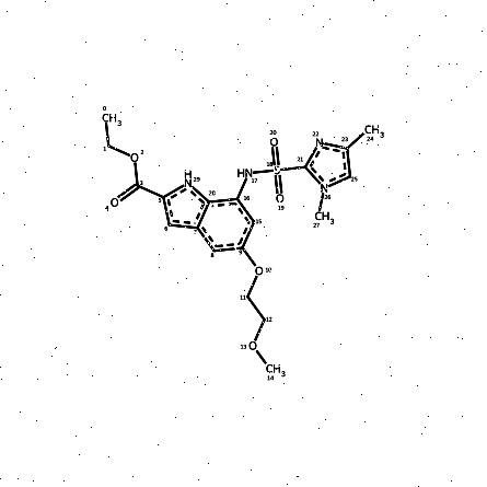 CCOC(=O)c1cc2cc(OCCOC)cc(NS(=O)(=O)c3nc(C)cn3C)c2[nH]1